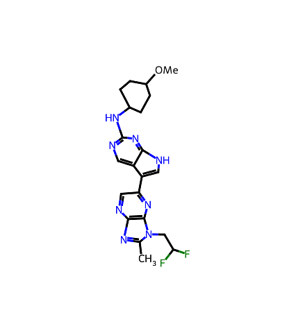 COC1CCC(Nc2ncc3c(-c4cnc5nc(C)n(CC(F)F)c5n4)c[nH]c3n2)CC1